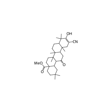 COC(=O)C12CCC(C)(C)CC1C1C(=O)CC3C4(C)CC(C#N)=C(O)C(C)(C)C4CCC3(C)C1(C)CC2